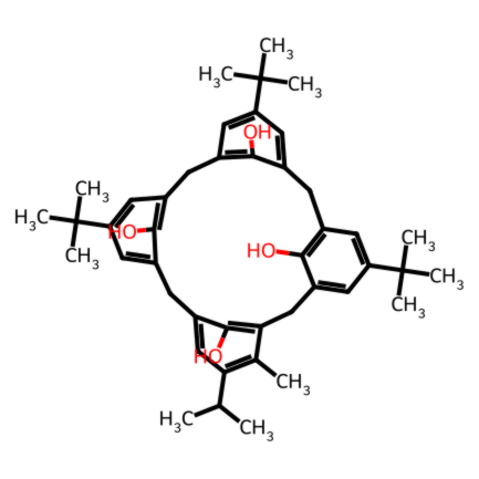 Cc1c(C(C)C)cc2c(O)c1Cc1cc(C(C)(C)C)cc(c1O)Cc1cc(C(C)(C)C)cc(c1O)Cc1cc(C(C)(C)C)cc(c1O)C2